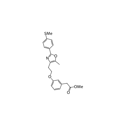 COC(=O)Cc1cccc(OCCc2nc(-c3ccc(SC)cc3)oc2C)c1